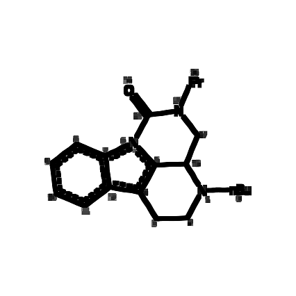 CCCCN1CCc2c3n(c4ccccc24)C(=O)N(C(C)C)CC31